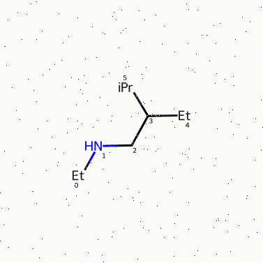 CCNCC(CC)C(C)C